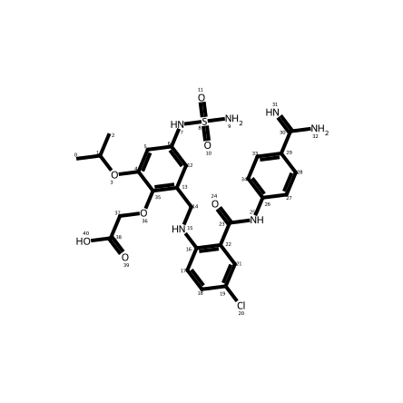 CC(C)Oc1cc(NS(N)(=O)=O)cc(CNc2ccc(Cl)cc2C(=O)Nc2ccc(C(=N)N)cc2)c1OCC(=O)O